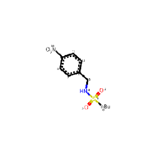 CCCCS(=O)(=O)NCc1ccc([N+](=O)[O-])cc1